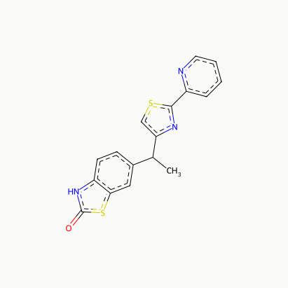 CC(c1ccc2[nH]c(=O)sc2c1)c1csc(-c2ccccn2)n1